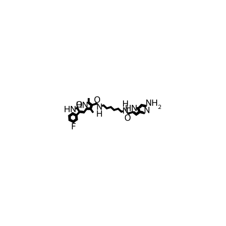 Cc1[nH]c(/C=C2\C(=O)Nc3ccc(F)cc32)c(C)c1C(=O)NCCCCCCNC(=O)c1cc2cnc(N)cc2[nH]1